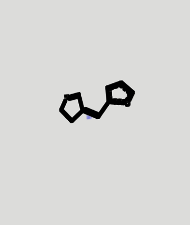 C1=NCC/C1=C/c1ccco1